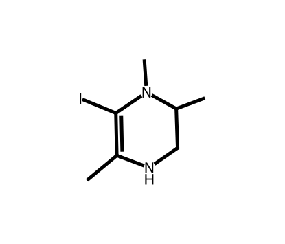 CC1=C(I)N(C)C(C)CN1